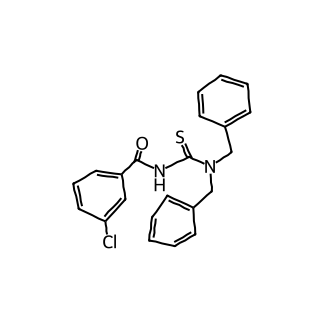 O=C(NC(=S)N(Cc1ccccc1)Cc1ccccc1)c1cccc(Cl)c1